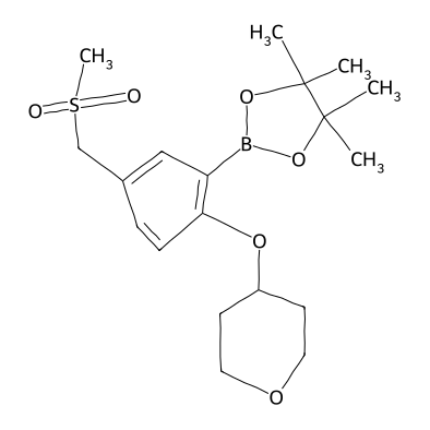 CC1(C)OB(c2cc(CS(C)(=O)=O)ccc2OC2CCOCC2)OC1(C)C